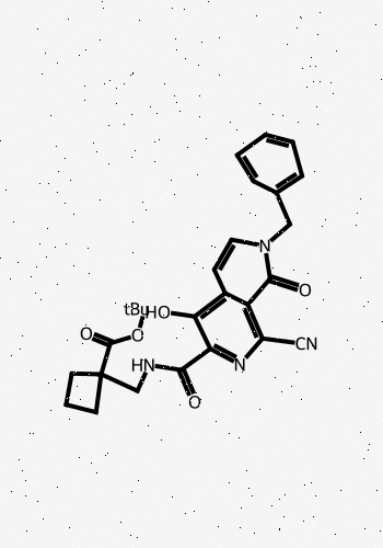 CC(C)(C)OC(=O)C1(CNC(=O)c2nc(C#N)c3c(=O)n(Cc4ccccc4)ccc3c2O)CCC1